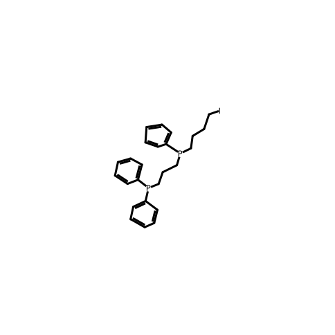 ICCCCP(CCCP(c1ccccc1)c1ccccc1)c1ccccc1